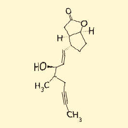 CC#CCC(C)[C@@H](O)/C=C/[C@H]1CC[C@@H]2OC(=O)C[C@@H]21